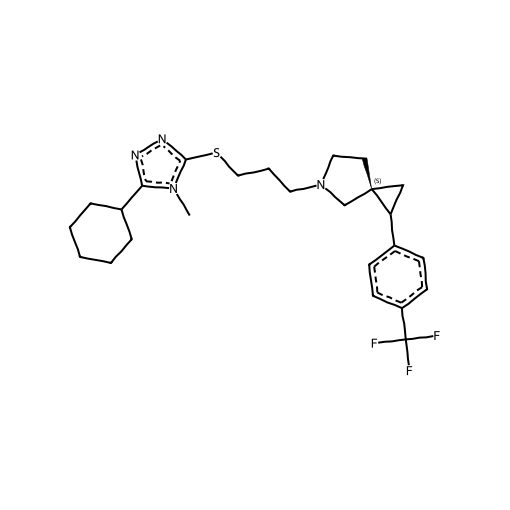 Cn1c(SCCCN2CC[C@]3(CC3c3ccc(C(F)(F)F)cc3)C2)nnc1C1CCCCC1